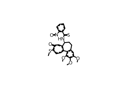 COc1cc2c(c(OC)c1OC)-c1ccc(SC)c(=O)cc1[C@@H](NC(=S)c1ccccc1N=O)CC2